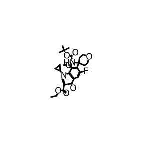 CCOC(=O)c1cn(C2CC2)c2c(OC)c(C3(NC(=O)OC(C)(C)C)CCOCC3)c(F)cc2c1=O